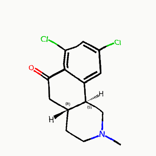 CN1CC[C@@H]2CC(=O)c3c(Cl)cc(Cl)cc3[C@H]2C1